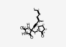 C/C=C\C=C(/C)C#CC1(CN2CCCC2=O)NC(=O)NC1=O